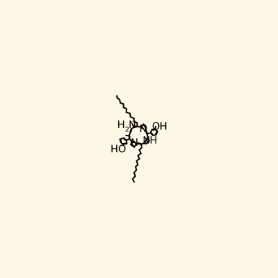 CCCCCCCCCCCCCc1c(N)ccc(C)c(-c2cccc(O)c2)c2nc(c(CCCCCCCCCCCCC)c3ccc([nH]3)c(-c3cccc(O)c3)c3nc1C=C3)C=C2